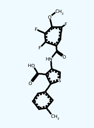 COc1c(F)cc(C(=O)Nc2csc(-c3cccc(C)c3)c2C(=O)O)c(F)c1F